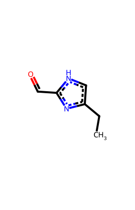 CCc1c[nH]c(C=O)n1